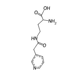 NC(CCNC(=O)Cc1cccnc1)C(=O)O